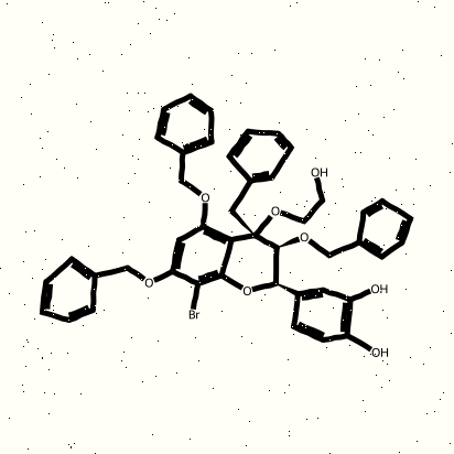 OCCO[C@@]1(Cc2ccccc2)c2c(OCc3ccccc3)cc(OCc3ccccc3)c(Br)c2O[C@H](c2ccc(O)c(O)c2)[C@@H]1OCc1ccccc1